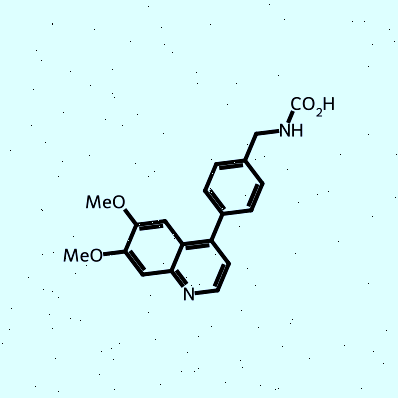 COc1cc2nccc(-c3ccc(CNC(=O)O)cc3)c2cc1OC